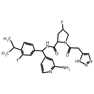 CC(C)c1ccc(C(NC(=O)C2CC(F)CN2C(=O)Cc2cnn[nH]2)c2ccnc(N)c2)cc1F